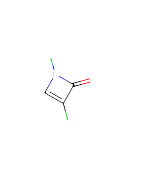 O=C1C(Cl)=CN1Cl